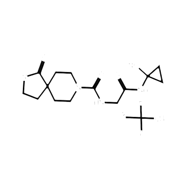 CC(F)(F)C[C@H](NC(=O)N1CCC2(CCNC2=O)CC1)C(=O)NC1(C#N)CC1